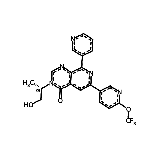 C[C@@H](CO)n1cnc2c(-c3cccnc3)nc(-c3ccc(OC(F)(F)F)nc3)cc2c1=O